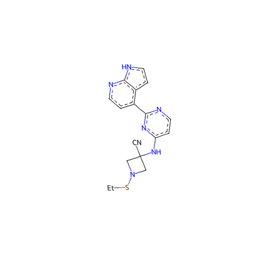 CCSN1CC(C#N)(Nc2ccnc(-c3ccnc4[nH]ccc34)n2)C1